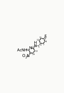 CC(=O)Nc1nc(NCc2ccc(F)cc2)ccc1[N+](=O)[O-]